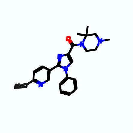 COc1ccc(-c2nc(C(=O)N3CCN(C)CC3(C)C)cn2-c2ccccc2)cn1